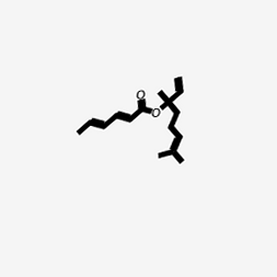 C=CC(C)(CCC=C(C)C)OC(=O)C=CC=CC